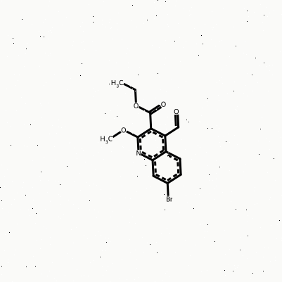 CCOC(=O)c1c(OC)nc2cc(Br)ccc2c1C=O